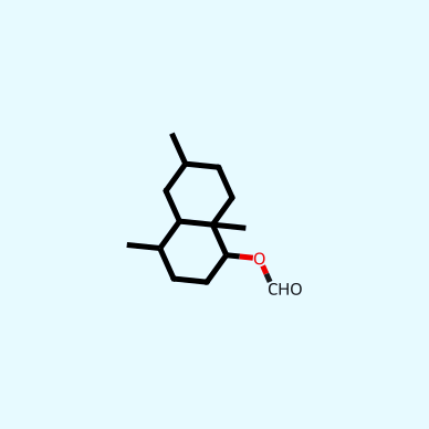 CC1CCC2(C)C(OC=O)CCC(C)C2C1